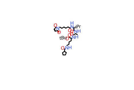 CC(NC(=O)[C@@H](NC(=O)CCCCCN1C(=O)C=CC1=O)C(C)C)C(=O)NC(CCCCNC(=O)C1CCCC1)C(=O)OC(C)(C)C